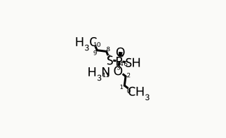 CCCOP(=O)(S)SCCC.N